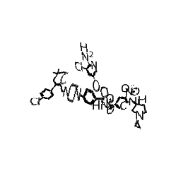 CC1(C)CCC(CN2CCN(c3ccc(C(=O)NS(=O)(=O)c4ccc(NC5CCN(C6CC6)C5)c([N+](=O)[O-])c4)c(Oc4cnc(N)c(Cl)c4)c3)CC2)=C(c2ccc(Cl)cc2)C1